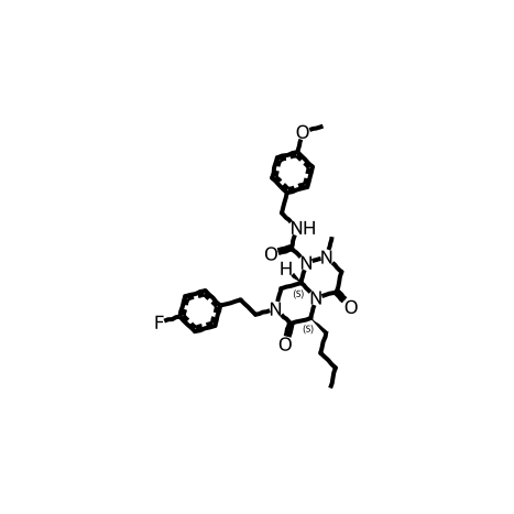 CCCC[C@H]1C(=O)N(CCc2ccc(F)cc2)C[C@H]2N1C(=O)CN(C)N2C(=O)NCc1ccc(OC)cc1